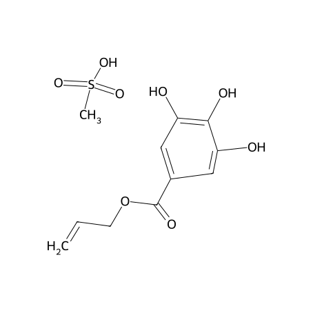 C=CCOC(=O)c1cc(O)c(O)c(O)c1.CS(=O)(=O)O